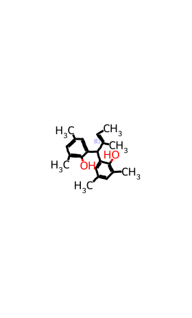 C/C=C(\C)C(c1cc(C)cc(C)c1O)c1cc(C)cc(C)c1O